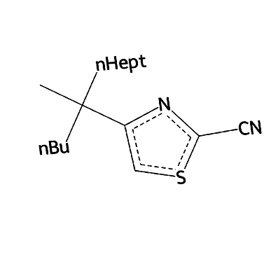 CCCCCCCC(C)(CCCC)c1csc(C#N)n1